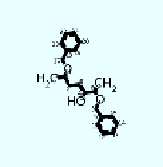 C=C(CCC(O)C(=C)OCc1ccccc1)OCc1ccccc1